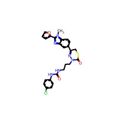 Cn1c(-c2ccco2)nc2cc(C3=NN(CCCNC(=O)Nc4ccc(Cl)cc4)C(=O)SC3)ccc21